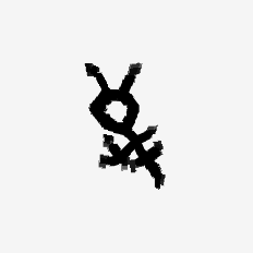 Fc1cc(C(F)(C(F)(F)F)C(F)(F)F)ccc1Br